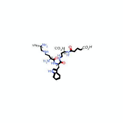 CCCCCC[C@H](N)CNCC[C@H](N)C(=O)N[C@H](Cc1c[nH]c2ccccc12)C(=O)NCC[C@@H](NC(=O)CCCC(=O)O)C(=O)O